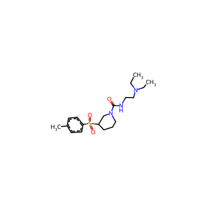 CCN(CC)CCNC(=O)N1CCCC(S(=O)(=O)c2ccc(C)cc2)C1